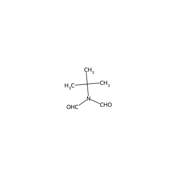 CC(C)(C)N(C=O)C=O